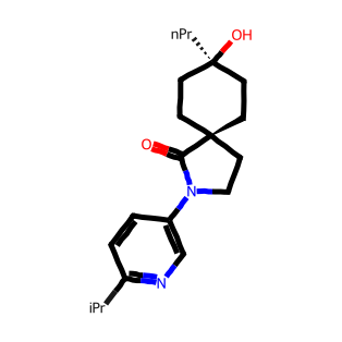 CCC[C@]1(O)CC[C@]2(CCN(c3ccc(C(C)C)nc3)C2=O)CC1